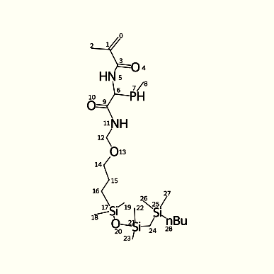 C=C(C)C(=O)NC(PC)C(=O)NCOCCC[Si](C)(C)O[Si](C)(C)C[Si](C)(C)CCCC